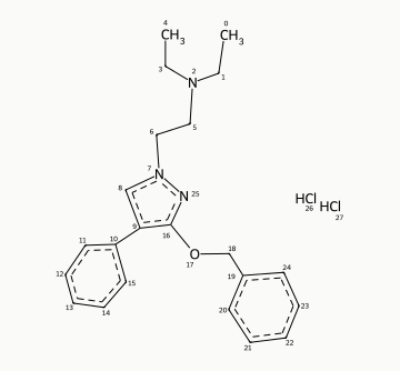 CCN(CC)CCn1cc(-c2ccccc2)c(OCc2ccccc2)n1.Cl.Cl